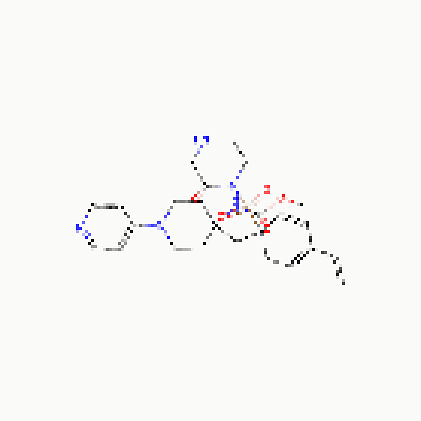 C=CC1=CCC(CC2(NC(=O)OC)CCN(c3ccncc3)CC2)(S(=O)(=O)N2CCNCC2=O)C=C1